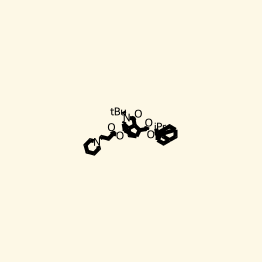 CC(C)C1(OC(=O)C2C3CC4C2C(=O)N(C(C)(C)C)C4C3OC(=O)CCN2CCCCC2)C2CC3CC(C2)CC1C3